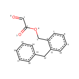 O=CC(=O)OCc1ccccc1Cc1ccccc1